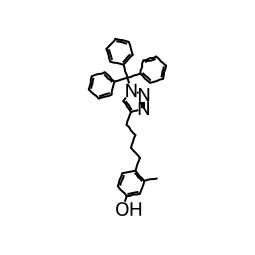 Cc1cc(O)ccc1CCCCc1cn(C(c2ccccc2)(c2ccccc2)c2ccccc2)nn1